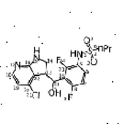 CCCS(=O)(=O)Nc1ccc(F)c(C(O)C2CNc3nccc(Cl)c32)c1F